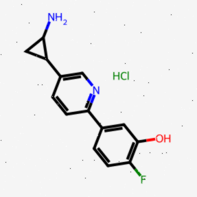 Cl.NC1CC1c1ccc(-c2ccc(F)c(O)c2)nc1